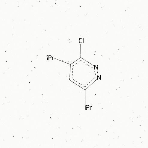 CC(C)c1cc(C(C)C)c(Cl)nn1